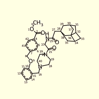 COC(=O)c1ccc(COc2ccccc2CN2CCN(C(=O)CNC(=O)CC34CC5CC6CC(C3)C6(C5)C4)CC2)cc1